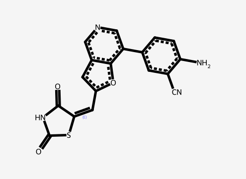 N#Cc1cc(-c2cncc3cc(/C=C4/SC(=O)NC4=O)oc23)ccc1N